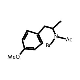 COc1ccc(CC(C)N(Br)C(C)=O)cc1